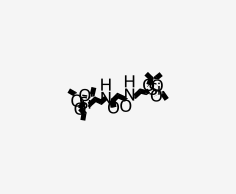 CCO[Si](CCCNC(=O)CC(=O)NCCC[Si](OCC)(OCC)OCC)(OCC)OCC